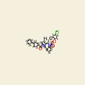 Cc1cc(Cl)ccc1OCC(=O)N1Cc2ccc(C(=O)c3ccc(-c4ccccc4)cc3)n2Cc2ccccc21